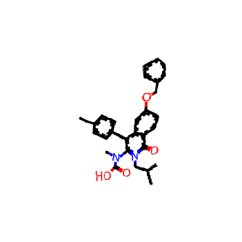 Cc1ccc(-c2c(N(C)C(=O)O)n(CC(C)C)c(=O)c3ccc(OCc4ccccc4)cc23)cc1